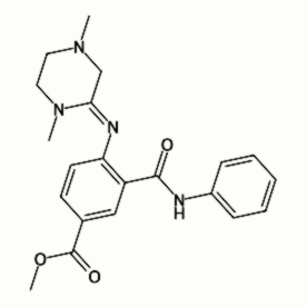 COC(=O)c1ccc(N=C2CN(C)CCN2C)c(C(=O)Nc2ccccc2)c1